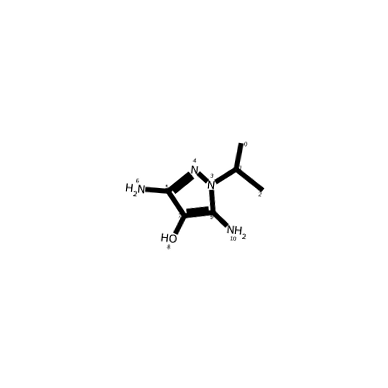 CC(C)n1nc(N)c(O)c1N